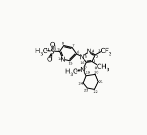 Cc1c(C(F)(F)F)nn(-c2ccc(S(C)(=O)=O)nc2)c1N(C)C1CCCCC1